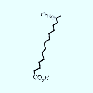 C[CH](CCCCCCCCCCCCC(=O)O)[Hg][Cl]